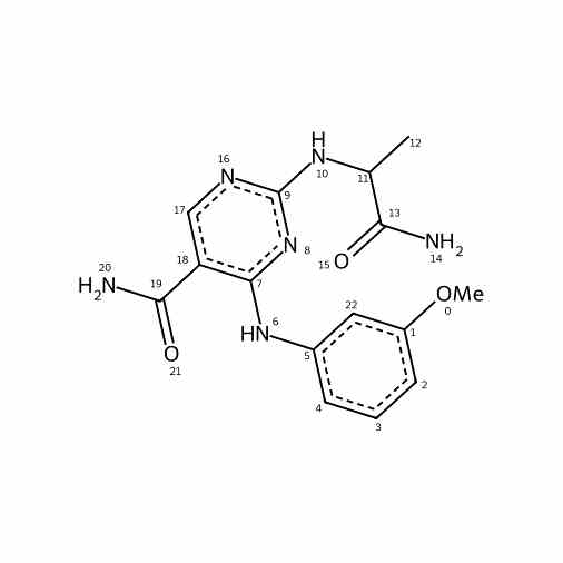 COc1cccc(Nc2nc(NC(C)C(N)=O)ncc2C(N)=O)c1